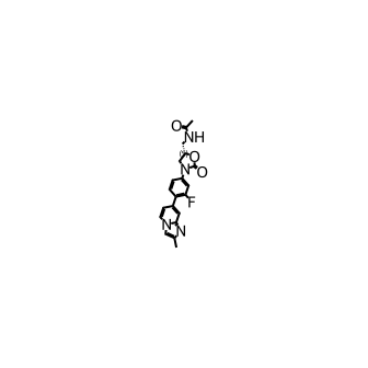 CC(=O)NC[C@H]1CN(c2ccc(-c3ccn4cc(C)nc4c3)c(F)c2)C(=O)O1